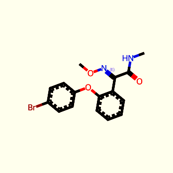 CNC(=O)/C(=N/OC)c1ccccc1Oc1ccc(Br)cc1